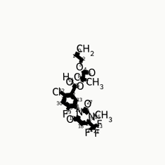 C=CCOC(=O)C(C)(C)OC(=O)c1cc(-n2c(=O)cc(C(F)(F)F)n(C)c2=O)c(F)cc1Cl